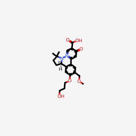 COCc1cc2c(cc1OCCCO)[C@H]1CCC(C)(C)N1n1cc(C(=O)O)c(=O)cc1-2